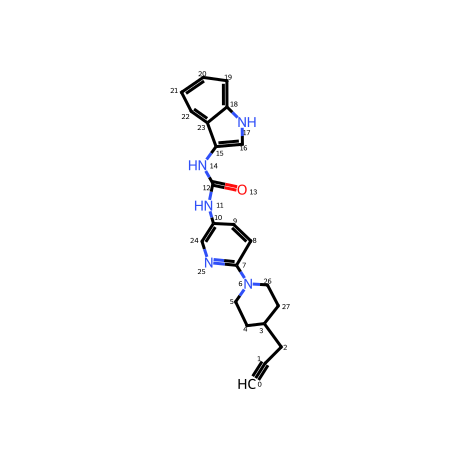 C#CCC1CCN(c2ccc(NC(=O)Nc3c[nH]c4ccccc34)cn2)CC1